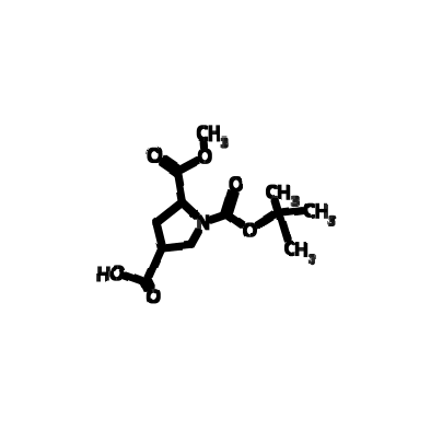 COC(=O)C1CC(C(=O)O)CN1C(=O)OC(C)(C)C